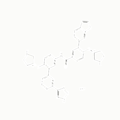 Cl.O=C(Nc1ccc(O[C@@H]2CCNC2)c(-c2cccc(-c3nn[nH]n3)c2)c1)c1ccc(O[C@H]2CCNC2)c(-c2ccc3ccsc3c2)c1